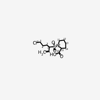 C=CC(CCCCl)S(=O)(=O)N1CCCCC1C(=O)O